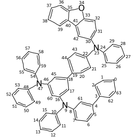 c1ccc(-c2cccc(N(c3ccccc3)c3cc(-c4ccc(N(c5ccccc5)c5ccc6oc7ccccc7c6c5)cc4)cc(N(c4ccccc4)c4ccccc4)c3)c2)cc1